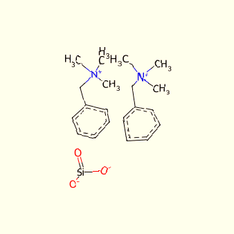 C[N+](C)(C)Cc1ccccc1.C[N+](C)(C)Cc1ccccc1.O=[Si]([O-])[O-]